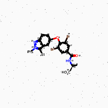 CCc1c2cc(Oc3c(Br)cc(C(=O)N[C@@H](C)C(=O)O)cc3Br)ccc2nn1C(C)C